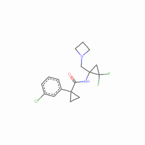 O=C(NC1(CN2CCC2)CC1(F)F)C1(c2cccc(Cl)c2)CC1